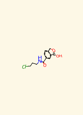 O=C(NCCCCl)c1ccc2c(c1)B(O)OC2